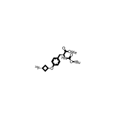 COC(=O)[C@H](Cc1ccc(O[C@H]2C[C@@H]([18F])C2)cc1)NC(=O)OC(C)(C)C